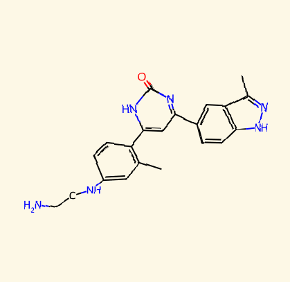 Cc1cc(NCCN)ccc1-c1cc(-c2ccc3[nH]nc(C)c3c2)nc(=O)[nH]1